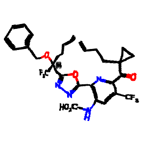 C=CCCC1(C(=O)c2nc(-c3nnc([C@@](CC=C)(OCc4ccccc4)C(F)(F)F)o3)c(NC(=O)O)cc2C(F)(F)F)CC1